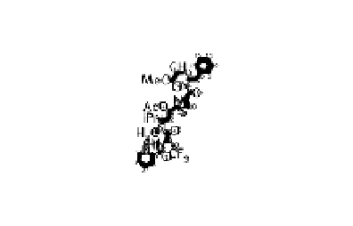 COC(=O)[C@@H](C)C[C@H](Cc1ccccc1)NC(=O)c1csc([C@@H](C[C@H](C(C)C)N(C)C(=O)[C@H](CC(F)(F)F)NC(=O)[C@H]2CCCCN2C)OC(C)=O)n1